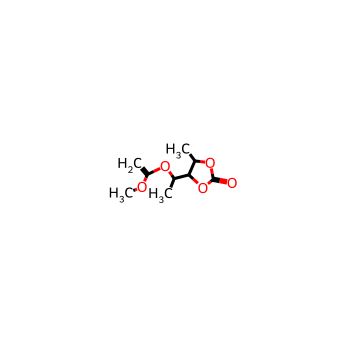 C=C(OC)OC(C)C1OC(=O)OC1C